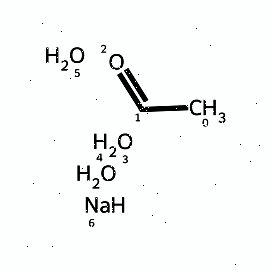 CC=O.O.O.O.[NaH]